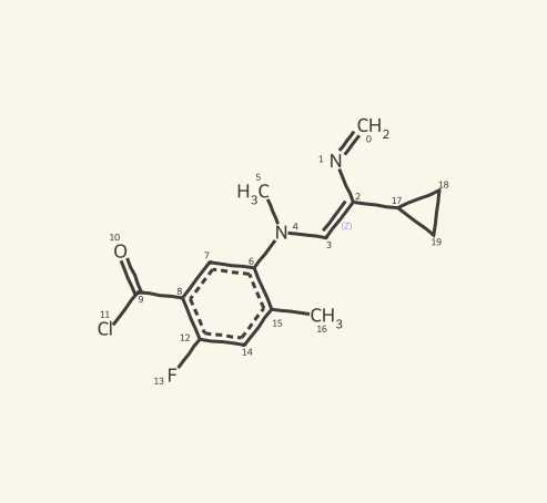 C=N/C(=C\N(C)c1cc(C(=O)Cl)c(F)cc1C)C1CC1